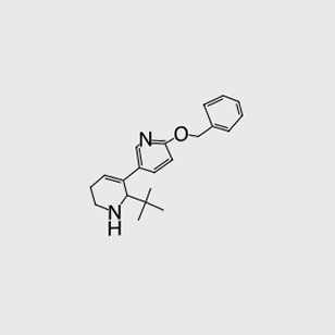 CC(C)(C)C1NCCC=C1c1ccc(OCc2ccccc2)nc1